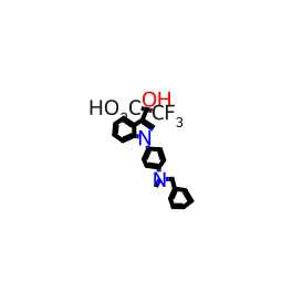 CN(Cc1ccccc1)c1ccc(-n2cc(C(O)(C(=O)O)C(F)(F)F)c3ccccc32)cc1